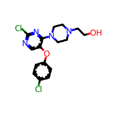 OCCN1CCN(c2nc(Cl)ncc2Oc2ccc(Cl)cc2)CC1